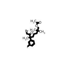 CC(=O)OCC(C)(C)CCCC(C)(C(=O)CBr)c1cccc(I)c1